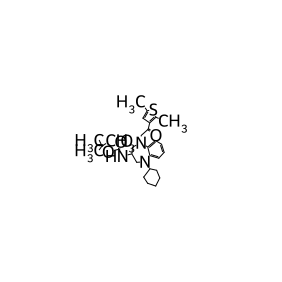 Cc1cc(C(=O)CN2C(=O)C(NC(=O)OC(C)(C)C)CN(C3CCCCC3)c3ccccc32)c(C)s1